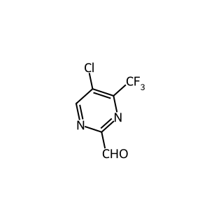 O=Cc1ncc(Cl)c(C(F)(F)F)n1